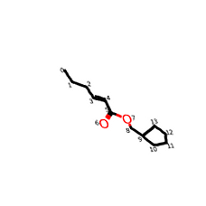 CCCC=CC(=O)OCC1CCCC1